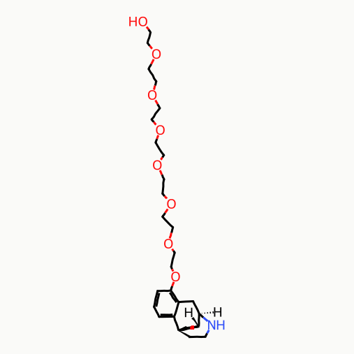 OCCOCCOCCOCCOCCOCCOCCOc1cccc2c1C[C@H]1NCC[C@@]23CCCC[C@@H]13